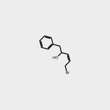 OC(/C=C\CBr)Cc1ccccc1